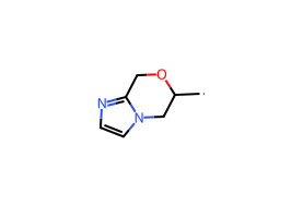 [CH2]C1Cn2ccnc2CO1